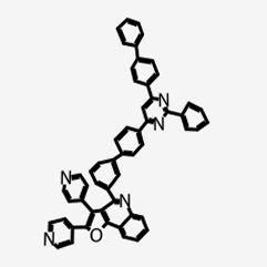 c1ccc(-c2ccc(-c3cc(-c4ccc(-c5cccc(-c6nc7ccccc7c7oc(-c8ccncc8)c(-c8ccncc8)c67)c5)cc4)nc(-c4ccccc4)n3)cc2)cc1